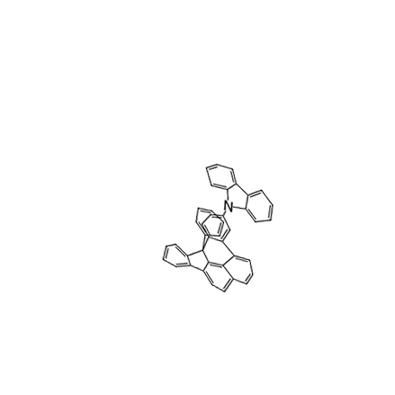 c1ccc(C23c4ccccc4-c4ccc5cccc(c5c42)-c2cc(-n4c5ccccc5c5ccccc54)ccc23)cc1